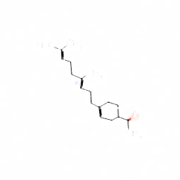 CC(=O)C1CC=C(CC/C=C(\C)CCC=C(C)C)CC1